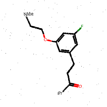 CNCCOc1cc(F)cc(CCC(=O)C(C)C)c1